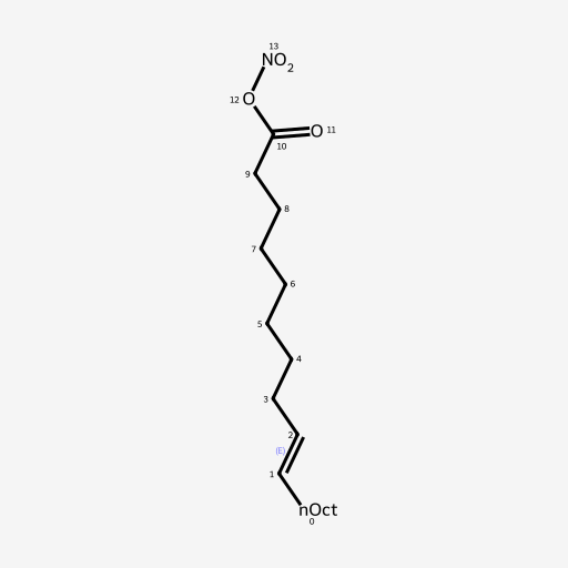 CCCCCCCC/C=C/CCCCCCCC(=O)O[N+](=O)[O-]